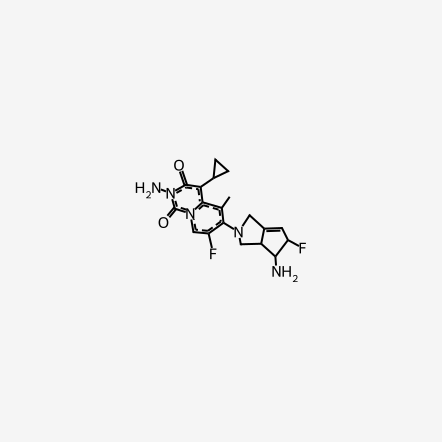 Cc1c(N2CC3=CC(F)C(N)C3C2)c(F)cn2c(=O)n(N)c(=O)c(C3CC3)c12